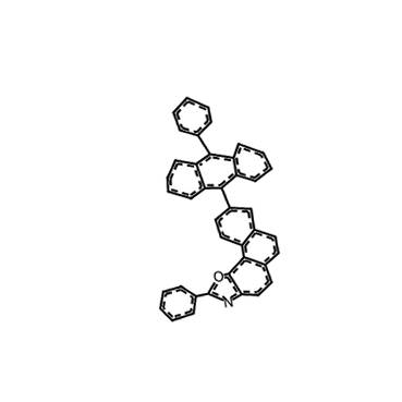 c1ccc(-c2nc3ccc4ccc5cc(-c6c7ccccc7c(-c7ccccc7)c7ccccc67)ccc5c4c3o2)cc1